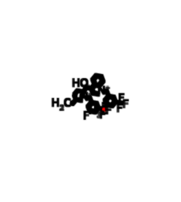 C=CC1C[N+]2(Cc3cc(F)cc(C(F)(F)F)c3)CCC1CC2[C@H](O)c1cc[n+](Cc2cc(C)cc(C(F)(F)F)c2)c2ccccc12